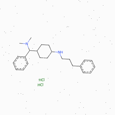 CN(C)C(c1ccccc1)C1CCC(NCCCc2ccccc2)CC1.Cl.Cl